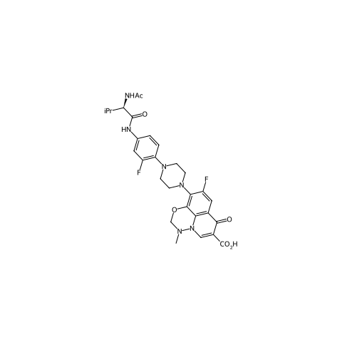 CC(=O)N[C@@H](C(=O)Nc1ccc(N2CCN(c3c(F)cc4c(=O)c(C(=O)O)cn5c4c3OCN5C)CC2)c(F)c1)C(C)C